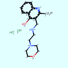 Cl.Cl.O=C(O)c1nc2ccccc2c(O)c1CNCCN1CCOCC1